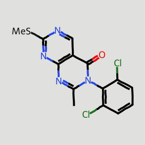 CSc1ncc2c(=O)n(-c3c(Cl)cccc3Cl)c(C)nc2n1